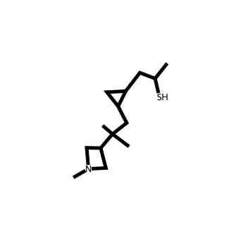 CC(S)CC1CC1CC(C)(C)C1CN(C)C1